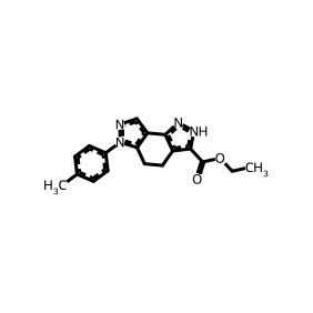 CCOC(=O)c1[nH]nc2c1CCc1c-2cnn1-c1ccc(C)cc1